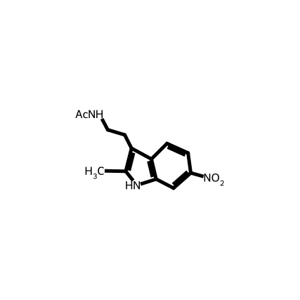 CC(=O)NCCc1c(C)[nH]c2cc([N+](=O)[O-])ccc12